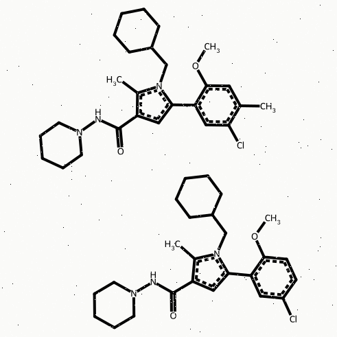 COc1cc(C)c(Cl)cc1-c1cc(C(=O)NN2CCCCC2)c(C)n1CC1CCCCC1.COc1ccc(Cl)cc1-c1cc(C(=O)NN2CCCCC2)c(C)n1CC1CCCCC1